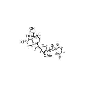 COc1cc(C(=O)N2CCC(F)(F)C(O)(CCO)c3cc(Cl)ccc32)ccc1NC(=O)c1cc(F)ccc1Cl